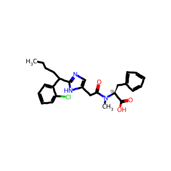 CCCCC(c1ncc(CC(=O)N(C)[C@@H](Cc2ccccc2)C(=O)O)[nH]1)c1ccccc1Cl